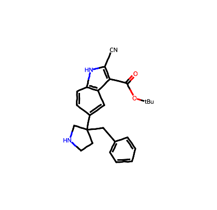 CC(C)(C)OC(=O)c1c(C#N)[nH]c2ccc(C3(Cc4ccccc4)CCNC3)cc12